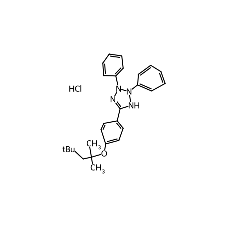 CC(C)(C)CC(C)(C)Oc1ccc(C2=NN(c3ccccc3)N(c3ccccc3)N2)cc1.Cl